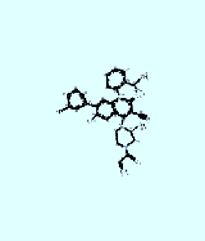 C=CC(=O)N1CCN(c2c(C#N)c(=O)n(-c3ccccc3C(C)C)c3cc(-c4cccc(F)c4)c(Cl)cc23)[C@@H](C)C1